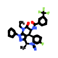 CCN1C(=O)[C@@H](NC(=O)c2cccc(C(F)(F)F)c2)[C@@H](c2ccc(F)cc2)c2c([C@@H](C)NC#N)nn(-c3ccccc3)c21